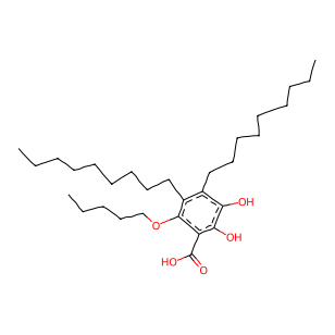 CCCCCCCCCc1c(O)c(O)c(C(=O)O)c(OCCCCC)c1CCCCCCCCC